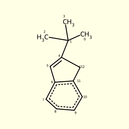 CC(C)(C)C1=Cc2ccccc2[C]1